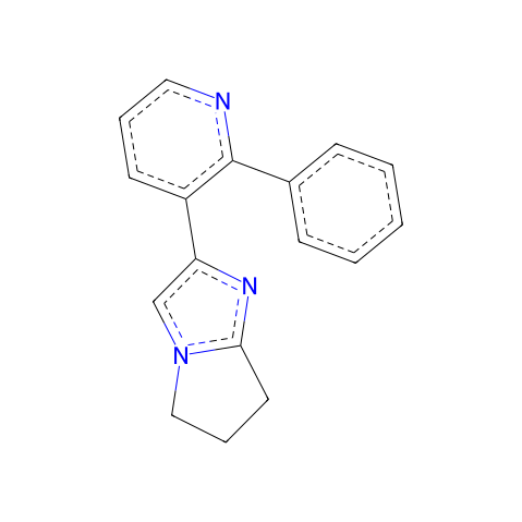 c1ccc(-c2ncccc2-c2cn3c(n2)CCC3)cc1